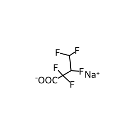 O=C([O-])C(F)(F)C(F)C(F)F.[Na+]